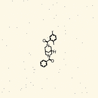 [CH2]c1ccc(C)c(C(=O)N2CC3C[C@@H](CN(C(=O)c4ccccc4)C3)C2)c1